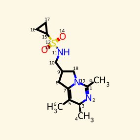 CC1=N[C@@H](C)C(C)=C2CC(CNS(=O)(=O)C3CC3)CN12